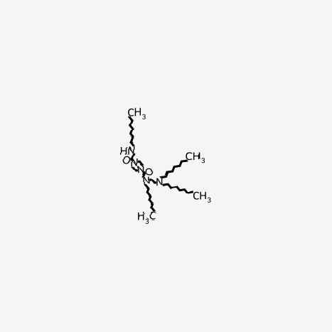 CCCCCCCCCNCC(=O)N1CCN(C(=O)CN(CCCCCCCCC)CCN(CCCCCCCCC)CCCCCCCCC)CC1